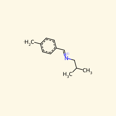 [CH2]c1ccc(/C=N/CC(C)C)cc1